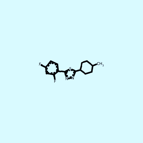 CC1CCC(c2nnc(-c3ccc(F)cc3F)s2)CC1